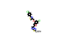 COc1nn2c(-c3cc4c(OCc5csc(-c6ccc(Cl)cc6)n5)cc(Cl)cc4o3)cnc2s1